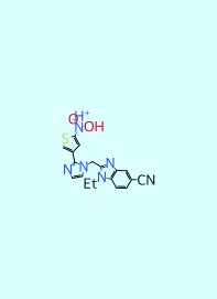 CCn1c(Cn2ccnc2-c2csc([NH+]([O-])O)c2)nc2cc(C#N)ccc21